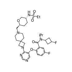 CCS(=O)(=O)N[C@@H]1CC[C@@H](CN2CCC3(CC2)CN(c2ncncc2Oc2ccc(F)cc2C(=O)N(C(C)C)C2CC(F)C2)C3)OC1